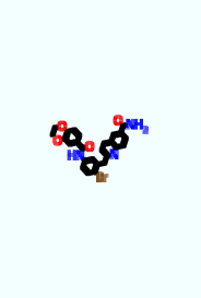 NC(=O)c1ccc2nc(Cc3cc(NC(=O)c4ccc5c(c4)OCCO5)ccc3Br)ccc2c1